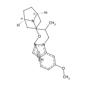 C#CCOC1C[C@H]2CC[C@@H](C1)N2CC(C)Cn1ncc2ccc(OC)cc21